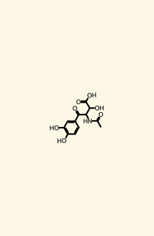 CC(=O)NC(C(=O)c1ccc(O)c(O)c1)C(O)C(=O)O